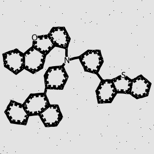 c1cc(-c2cccc3c2sc2ccccc23)cc(N(c2ccc(-c3cc4ccccc4c4ccccc34)cc2)c2cccc3oc4c5ccccc5ccc4c23)c1